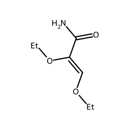 CCOC=C(OCC)C(N)=O